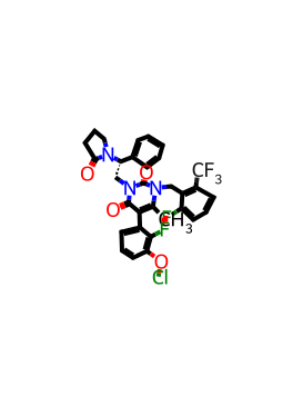 Cc1c(-c2cccc(OCl)c2F)c(=O)n(C[C@@H](c2ccccc2)N2CCCC2=O)c(=O)n1Cc1c(F)cccc1C(F)(F)F